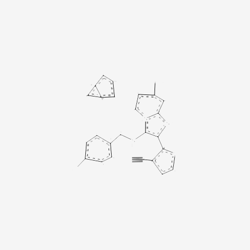 C#Cc1ccsc1-c1nc2cc(C)ccn2c1NCc1ccc(F)cc1.c1cc2cc-2c1